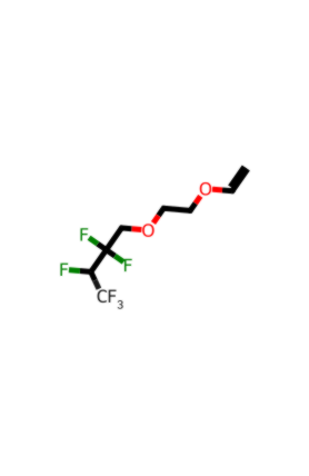 C=COCCOCC(F)(F)C(F)C(F)(F)F